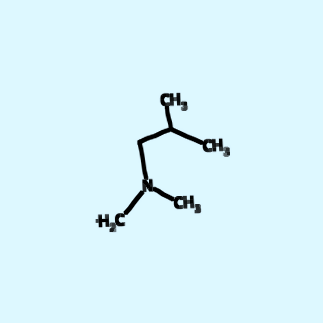 [CH2]N(C)CC(C)C